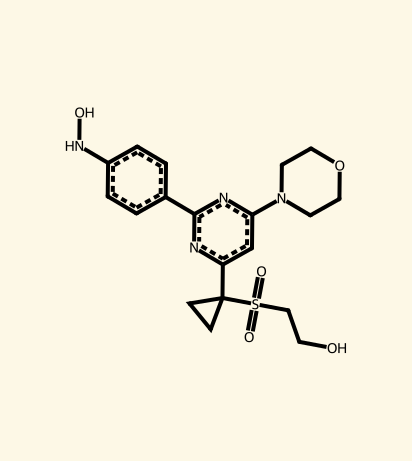 O=S(=O)(CCO)C1(c2cc(N3CCOCC3)nc(-c3ccc(NO)cc3)n2)CC1